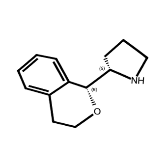 c1ccc2c(c1)CCO[C@H]2[C@@H]1CCCN1